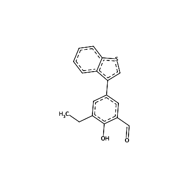 CCc1cc(-c2csc3ccccc23)cc(C=O)c1O